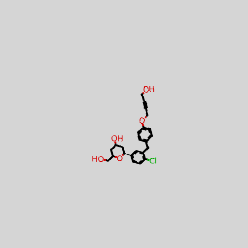 OCC#CCOc1ccc(Cc2cc([C@@H]3CC(O)CC(CO)O3)ccc2Cl)cc1